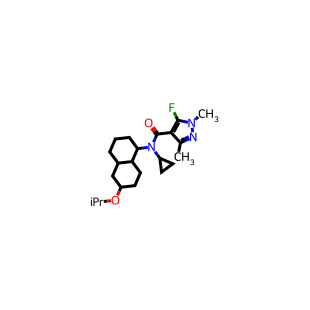 Cc1nn(C)c(F)c1C(=O)N(C1CC1)C1CCCC2CC(OC(C)C)CCC21